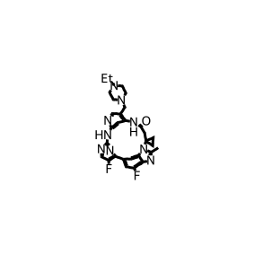 CCN1CCN(Cc2cnc3cc2NC(=O)CC2(CC2)n2c(C)nc4c(F)cc(cc42)-c2nc(ncc2F)N3)CC1